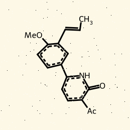 C/C=C/c1cc(-c2ccc(C(C)=O)c(=O)[nH]2)ccc1OC